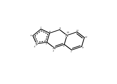 C1=CC2=Nc3sccc3CN2C=C1